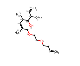 C=CCCOCCOC/C(C)=C\[C@@H](C)[C@H](O)C(C=C)OC